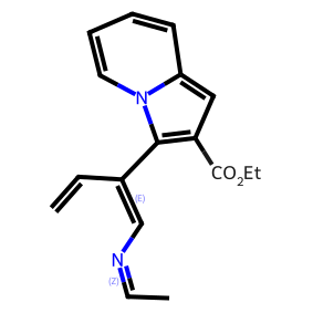 C=C/C(=C\N=C/C)c1c(C(=O)OCC)cc2ccccn12